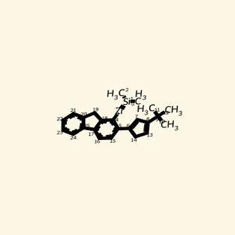 C[Si](C)=[Zr][c]1c(C2=CC(C(C)(C)C)=CC2)ccc2c1Cc1ccccc1-2